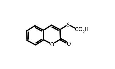 O=C(O)Sc1cc2ccccc2oc1=O